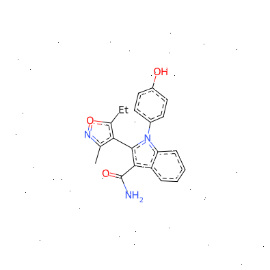 CCc1onc(C)c1-c1c(C(N)=O)c2ccccc2n1-c1ccc(O)cc1